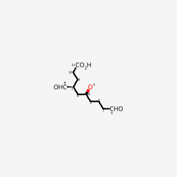 O=CCCCC(=O)C[C@@H](C=O)CCC(=O)O